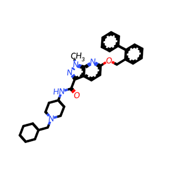 Cn1nc(C(=O)NC2CCN(CC3CCCCC3)CC2)c2ccc(OCc3ccccc3-c3ccccc3)nc21